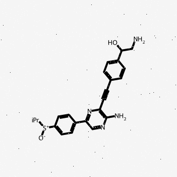 CC(C)[S+]([O-])c1ccc(-c2cnc(N)c(C#Cc3ccc(C(O)CN)cc3)n2)cc1